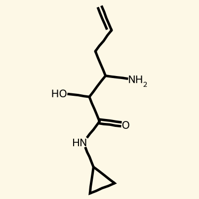 C=CCC(N)C(O)C(=O)NC1CC1